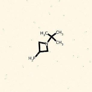 CC(C)(C)N1CC(P)C1